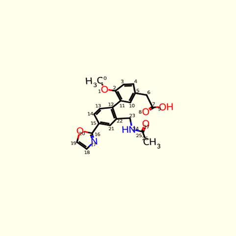 COc1ccc(CC(=O)O)cc1-c1ccc(-c2ncco2)cc1CNC(C)=O